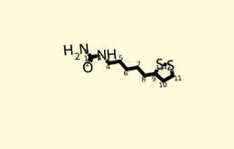 NC(=O)NCCCCCC1CCSS1